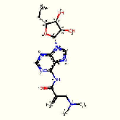 C=C(CN(C)C)C(=O)Nc1ncnc2c1ncn2[C@@H]1O[C@H](CSC)[C@@H](O)[C@H]1O